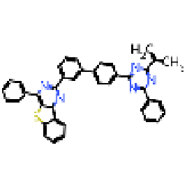 C=C(C)c1nc(-c2ccccc2)nc(-c2ccc(-c3cccc(-c4nc(-c5ccccc5)c5sc6ccccc6c5n4)c3)cc2)n1